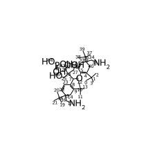 CC(C)(C)C1=C(OC(C2=C(C(C)(C)C)CC(CN)(C(C)(C)C)C=C2)C(CO)(CO)CO)C=CC(CN)(C(C)(C)C)C1.OP(O)O